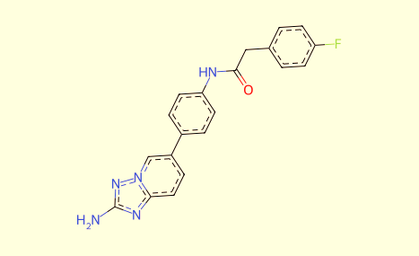 Nc1nc2ccc(-c3ccc(NC(=O)Cc4ccc(F)cc4)cc3)cn2n1